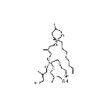 CCCCCCCC[Si]1(OCC(C)CO[Si](CCCCS)(OCC(C)CO)OCC(C)CO)OCC(C)CO1